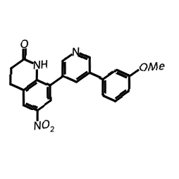 COc1cccc(-c2cncc(-c3cc([N+](=O)[O-])cc4c3NC(=O)CC4)c2)c1